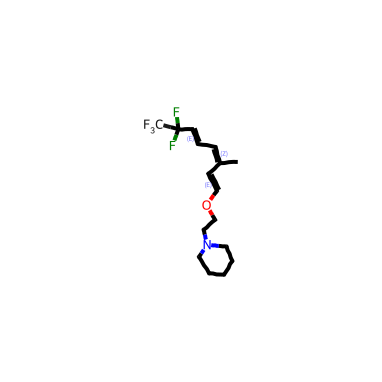 CC(=C/C=C/C(F)(F)C(F)(F)F)/C=C/OCCN1CCCCC1